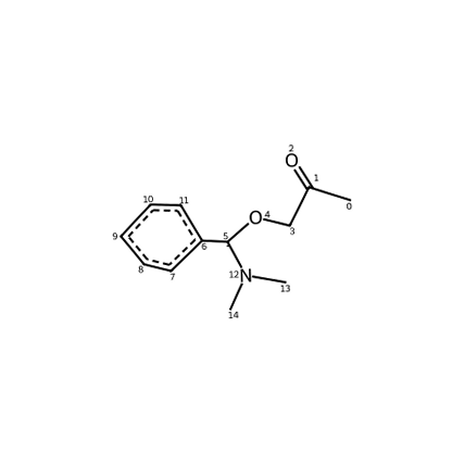 CC(=O)CO[C](c1ccccc1)N(C)C